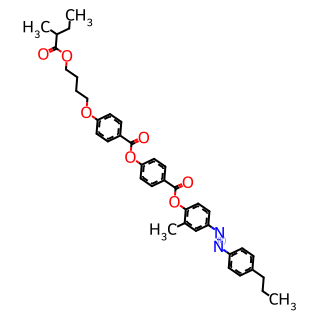 CCCc1ccc(/N=N/c2ccc(OC(=O)c3ccc(OC(=O)c4ccc(OCCCCOC(=O)C(C)CC)cc4)cc3)c(C)c2)cc1